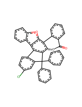 COC(=O)c1ccccc1-c1cc2c(c3c1oc1ccccc13)-c1ccc(Cl)cc1C2(c1ccccc1)c1ccccc1